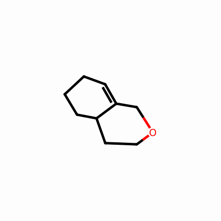 C1=C2COCCC2CCC1